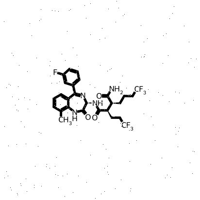 Cc1cccc2c1NC(=O)[C@@H](NC(=O)[C@H](CCC(F)(F)F)[C@H](CCCC(F)(F)F)C(N)=O)N=C2c1cccc(F)c1